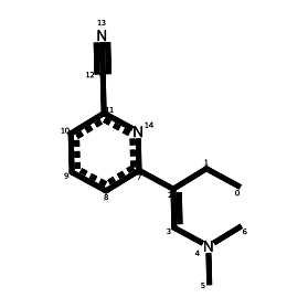 CC/C(=C\N(C)C)c1cccc(C#N)n1